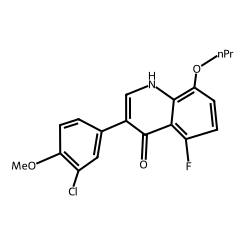 CCCOc1ccc(F)c2c(=O)c(-c3ccc(OC)c(Cl)c3)c[nH]c12